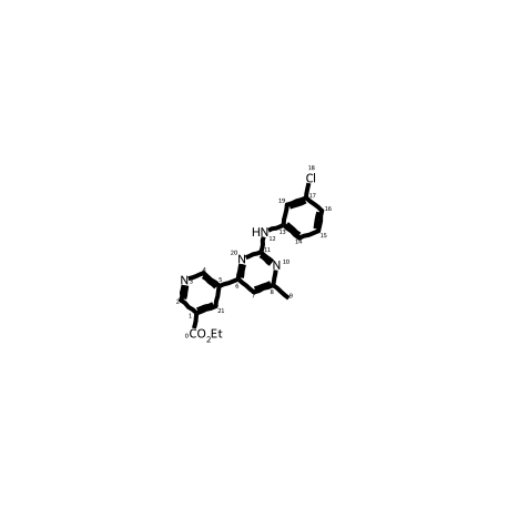 CCOC(=O)c1cncc(-c2cc(C)nc(Nc3cccc(Cl)c3)n2)c1